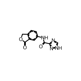 O=C(Nc1ccc2c(c1)C(=O)OC2)c1nc[nH]n1